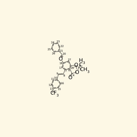 CC1(C)OC(=O)c2c(/C=C/c3ccc(C(F)(F)F)cc3)cc(OCc3ccccc3)cc2O1